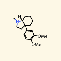 COc1ccc([C@]23CCCC[C@H]2N(C)CC3)cc1OC